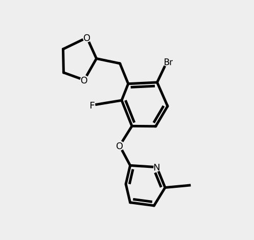 Cc1cccc(Oc2ccc(Br)c(CC3OCCO3)c2F)n1